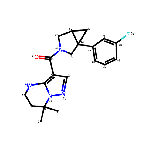 CC1(C)CCNc2c(C(=O)N3CC4CC4(c4cccc(F)c4)C3)cnn21